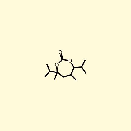 CC(C)C1OC(=O)OC(C)(C(C)C)CC1C